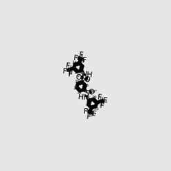 O=S(=O)(Nc1cc(C(F)(F)F)cc(C(F)(F)F)c1)c1cccc([S+]([O-])Nc2cc(C(F)(F)F)cc(C(F)(F)F)c2)c1